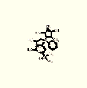 CC1=C(C)C(C)C([Si](CC(C)C)(c2ccccc2)c2cc(C)cc([Si](C)(C)C)c2)=C1C